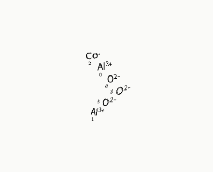 [Al+3].[Al+3].[Co].[O-2].[O-2].[O-2]